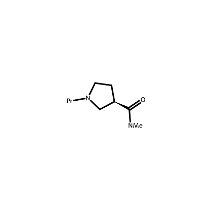 CNC(=O)[C@@H]1CCN(C(C)C)C1